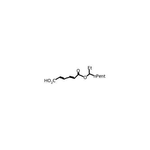 CCCCCC(CC)OC(=O)/C=C/C=C/C(=O)O